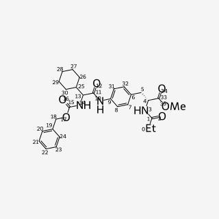 CCC(=O)N[C@H](Cc1ccc(NC(=O)C(NC(=O)OCc2ccccc2)C2CCCCC2)cc1)C(=O)OC